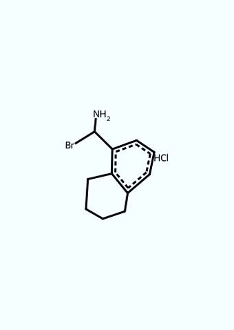 Cl.NC(Br)c1cccc2c1CCCC2